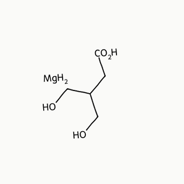 O=C(O)CC(CO)CO.[MgH2]